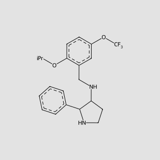 CC(C)Oc1ccc(OC(F)(F)F)cc1CNC1CCNC1c1ccccc1